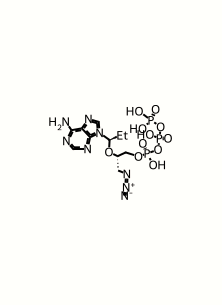 CC[C@@H](O[C@@H](CN=[N+]=[N-])COP(=O)(O)OP(=O)(O)OP(=O)(O)O)n1cnc2c(N)ncnc21